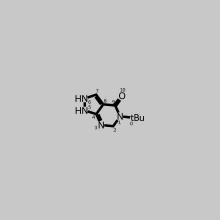 CC(C)(C)N1CN=C2NNC=C2C1=O